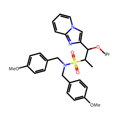 COc1ccc(CN(Cc2ccc(OC)cc2)S(=O)(=O)C(C)C(OC(C)C)c2cn3ccccc3n2)cc1